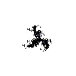 C=CC(=O)OC(C)CCN(I)C1=C(C#N)/C(=C(\C#N)C(O)OCC(CC)(COC(=O)/C(C#N)=C2\CC(C)(C)CC(N3CCC(OC(=O)C=C)C3)=C2C#N)COC(=O)C(C#N)C2CC(C)(C)CC(N3CCC(OC(=O)C=C)C3)C2C#N)CC(C)(C)C1